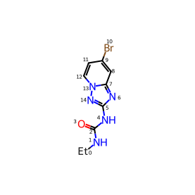 CCNC(=O)Nc1nc2cc(Br)ccn2n1